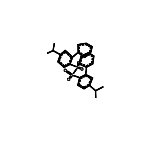 CC(C)c1ccc(S(=O)(=O)S(=O)(=O)c2ccc(C(C)C)cc2-c2ccccc2)c(-c2ccccc2)c1